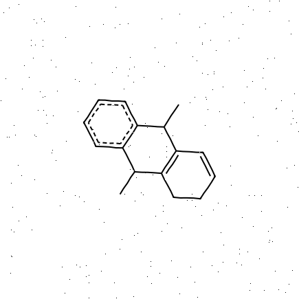 CC1C2=C(CCC=C2)C(C)c2ccccc21